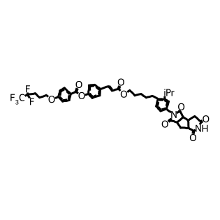 CC(C)c1cc(N2C(=O)C3CC4C(=O)NC(=O)CC4C3C2=O)ccc1CCCCCOC(=O)/C=C/c1ccc(OC(=O)c2ccc(OCCCC(F)(F)C(F)(F)F)cc2)cc1